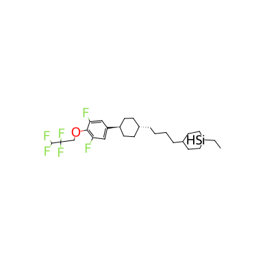 CC[SiH]1CCC(CCCC[C@H]2CC[C@H](c3cc(F)c(OCC(F)(F)C(F)F)c(F)c3)CC2)CC1